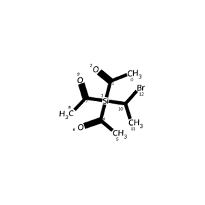 CC(=O)[Si](C(C)=O)(C(C)=O)C(C)Br